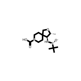 C[C@H]1OCC2(CCN(C(=O)O)CC2)[C@@H]1N[S@+]([O-])C(C)(C)C